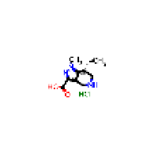 CC[C@@H]1CNCc2c(C(=O)O)nn(C)c21.Cl